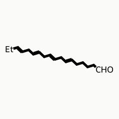 CC/C=C/C/C=C/C/C=C/C/C=C/CCCCC=O